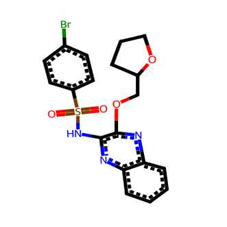 O=S(=O)(Nc1nc2ccccc2nc1OCC1CCCO1)c1ccc(Br)cc1